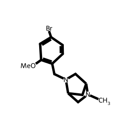 COc1cc(Br)ccc1CN1CC2CC1CN2C